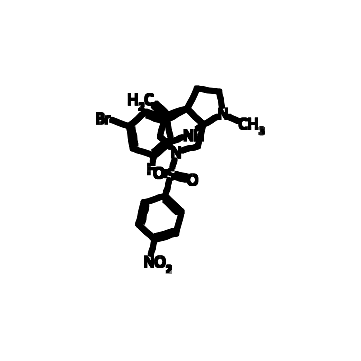 C=C1CN(S(=O)(=O)c2ccc([N+](=O)[O-])cc2)CC23Nc4c(F)cc(Br)cc4C12CCN3C